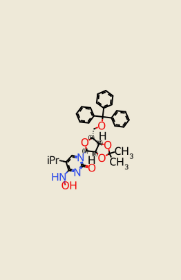 CC(C)c1cn([C@@H]2O[C@H](COC(c3ccccc3)(c3ccccc3)c3ccccc3)[C@H]3OC(C)(C)O[C@H]32)c(=O)nc1NO